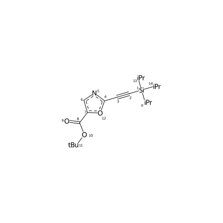 CC(C)[Si](C#Cc1ncc(C(=O)OC(C)(C)C)o1)(C(C)C)C(C)C